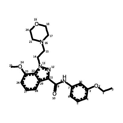 CCOc1cccc(NC(=O)c2nn(CCN3CCOCC3)c3c(OC)cccc23)c1